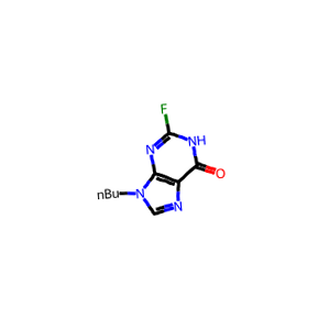 CCCCn1cnc2c(=O)[nH]c(F)nc21